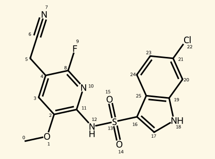 COc1cc(CC#N)c(F)nc1NS(=O)(=O)c1c[nH]c2cc(Cl)ccc12